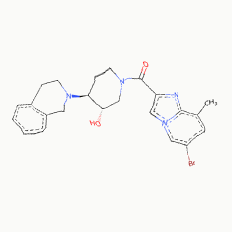 Cc1cc(Br)cn2cc(C(=O)N3CC[C@H](N4CCc5ccccc5C4)[C@@H](O)C3)nc12